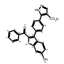 O=C(O)c1cn[nH]c1-c1ccc(-c2c(C(=O)c3ccccc3)sc3cc(O)ccc23)cc1